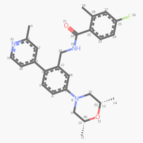 Cc1cc(-c2ccc(N3C[C@@H](C)O[C@@H](C)C3)cc2CNC(=O)c2ccc(F)cc2C)ccn1